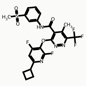 Cc1c(C(F)(F)F)nnc(Oc2c(F)cc(C3CCC3)nc2F)c1C(=O)Nc1cccc(S(C)(=O)=O)c1